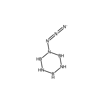 [N-]=[N+]=NN1BNBNB1